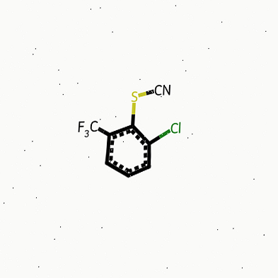 N#CSc1c(Cl)cccc1C(F)(F)F